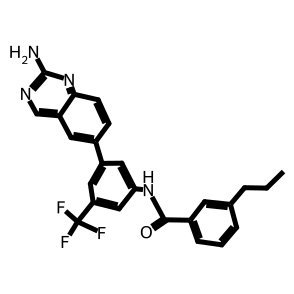 CCCc1cccc(C(=O)Nc2cc(-c3ccc4nc(N)ncc4c3)cc(C(F)(F)F)c2)c1